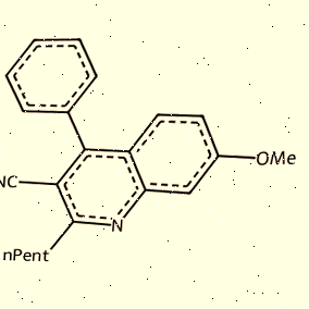 CCCCCc1nc2cc(OC)ccc2c(-c2ccccc2)c1C#N